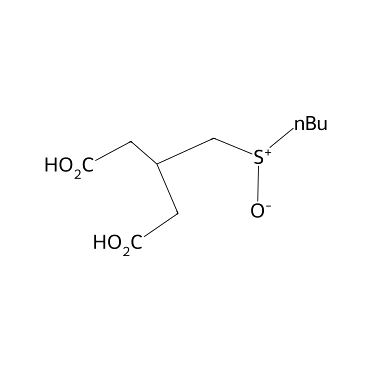 CCCC[S+]([O-])CC(CC(=O)O)CC(=O)O